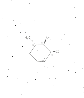 CC[C@H]1C=CC[C@H](C)[C@H]1C(C)=O